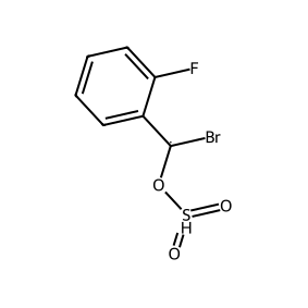 O=[SH](=O)O[C](Br)c1ccccc1F